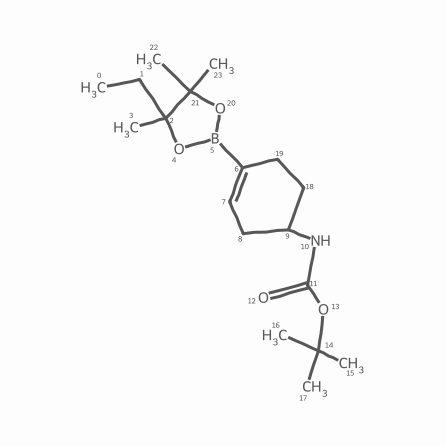 CCC1(C)OB(C2=CCC(NC(=O)OC(C)(C)C)CC2)OC1(C)C